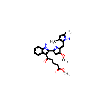 COC(=O)CCCC(=O)c1c(C2=NC(=Cc3[nH]c(C)cc3C)C(OC)=C2)[nH]c2ccccc12